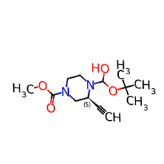 C#C[C@H]1CN(C(=O)OC)CCN1C(O)OC(C)(C)C